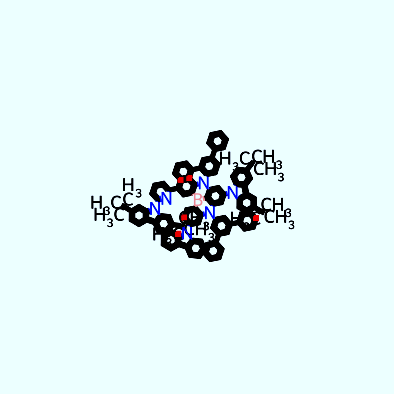 CC(C)(C)c1ccc2c(c1)c1cc(C(C)(C)C)ccc1n2-c1cc2c3c(c1)N(c1ccc(-c4ccccc4)cc1-c1ccccc1)c1ccc(-c4cccc(-n5c6cc(C(C)(C)C)ccc6c6ccc(C(C)(C)C)cc65)n4)cc1B3c1ccc(-n3c4ccccc4c4ccccc43)cc1N2c1cc(-c2ccccc2)cc(-c2ccccc2)c1